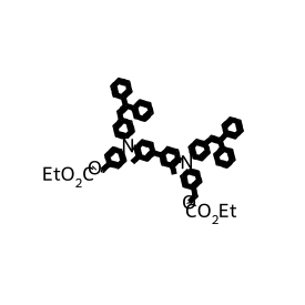 CCOC(=O)OCc1ccc(N(c2ccc(C=C(c3ccccc3)c3ccccc3)cc2)c2ccc(-c3ccc(N(c4ccc(C=C(c5ccccc5)c5ccccc5)cc4)c4ccc(COC(=O)OCC)cc4)c(C)c3)cc2C)cc1